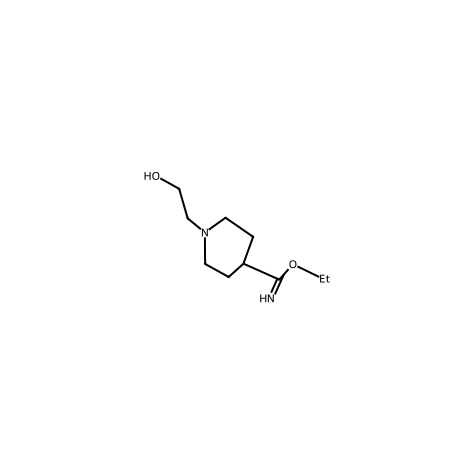 CCOC(=N)C1CCN(CCO)CC1